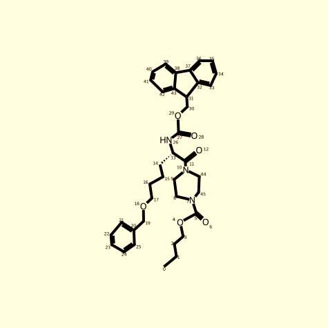 CCCCOC(=O)N1CCN(C(=O)[C@H](CCCCOCc2ccccc2)NC(=O)OCC2c3ccccc3-c3ccccc32)CC1